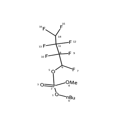 CCCCOP(=O)(OC)OC(F)C(F)(F)C(F)(F)C(F)F